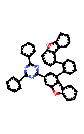 c1ccc(-c2nc(-c3ccccc3)nc(-c3cc(-c4ccccc4-c4cccc5oc6ccccc6c45)c4c(c3)oc3ccccc34)n2)cc1